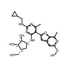 CCCOc1cc2cc(-c3c(C)nc(NCC4CC4)nc3N[C@@H]3C[C@H](CO)[C@@H](O)[C@H]3O)oc2c(C)n1